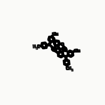 Cc1ccc(N(c2ccc(C(C)(C)C)cc2)c2ccc3c(c2)C2(c4ccccc4Oc4ccccc42)c2cc(N(c4ccc(C)cc4)c4ccc(C(C)(C)C)cc4)ccc2-3)cc1